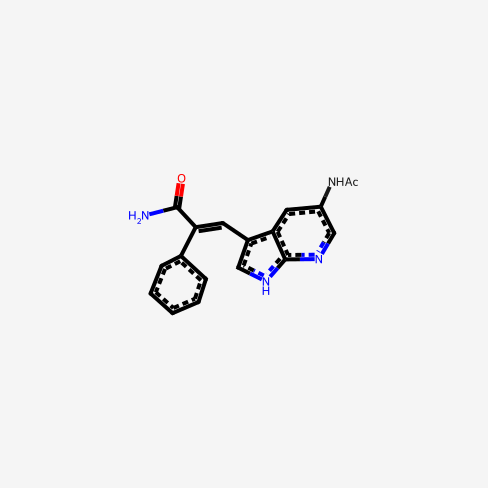 CC(=O)Nc1cnc2[nH]cc(C=C(C(N)=O)c3ccccc3)c2c1